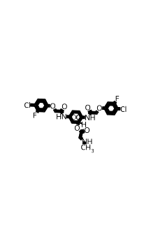 CNCC(=O)O[C@@H]1CC2(NC(=O)COc3ccc(Cl)c(F)c3)CCC1(NC(=O)COc1ccc(Cl)c(F)c1)CC2